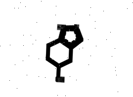 OC1CCc2[nH]ncc2C1